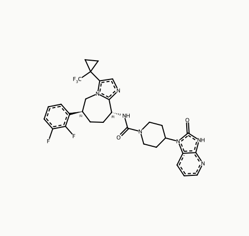 O=C(N[C@@H]1CC[C@@H](c2cccc(F)c2F)Cn2c(C3(C(F)(F)F)CC3)cnc21)N1CCC(n2c(=O)[nH]c3ncccc32)CC1